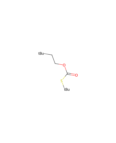 CC(C)(C)CCOC(=O)SC(C)(C)C